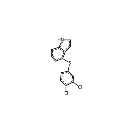 Clc1ccc(Sc2cccc3[nH]ccc23)cc1Cl